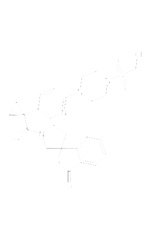 CCS(=O)(=O)N1CCN(c2ccc(C3(C(=O)N4CCC5(C4)OC(=O)c4ccccc45)CC3)cn2)CC1